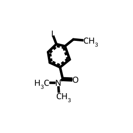 CCc1cc(C(=O)N(C)C)ccc1I